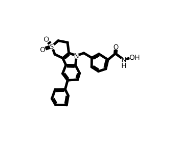 O=C(NO)c1cccc(Cn2c3c(c4cc(-c5ccccc5)ccc42)CS(=O)(=O)CC3)c1